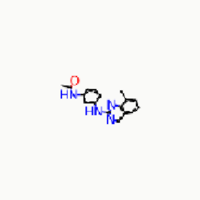 CC(=O)Nc1cccc(Nc2ncc3cccc(C)c3n2)c1